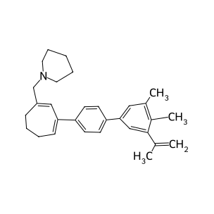 C=C(C)c1cc(-c2ccc(C3=CCCCC(CN4CCCCC4)=C3)cc2)cc(C)c1C